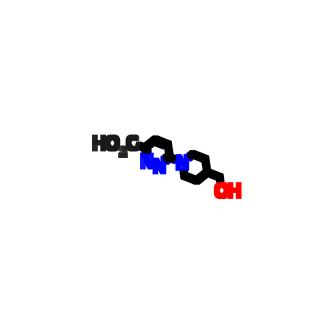 O=C(O)c1ccc(N2CCC(CO)CC2)nn1